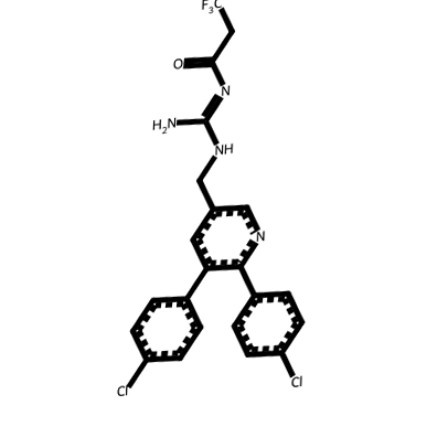 N/C(=N\C(=O)CC(F)(F)F)NCc1cnc(-c2ccc(Cl)cc2)c(-c2ccc(Cl)cc2)c1